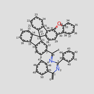 C=C(/N=C(\N=C(/C)c1ccc2c(c1)C1(c3ccccc3-2)c2ccccc2-c2c1ccc1c2oc2ccccc21)c1ccccc1)c1ccccc1